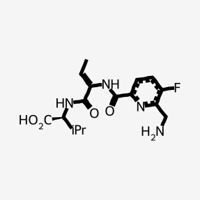 C/C=C(\NC(=O)c1ccc(F)c(CN)n1)C(=O)N[C@H](C(=O)O)C(C)C